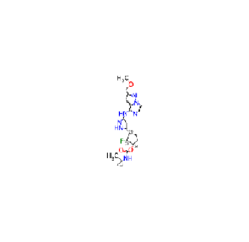 COCc1cc2c(Nc3cc([C@@H]4CC[C@H](OC(=O)NC5(C)CC5)[C@@H]4F)[nH]n3)nccn2n1